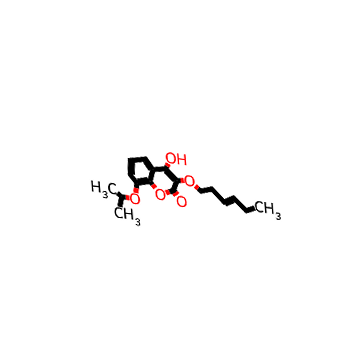 CCC=CCCOc1c(O)c2cccc(OC(C)C)c2oc1=O